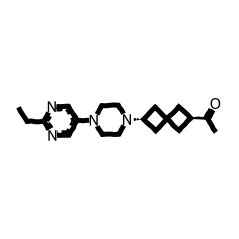 CCc1ncc(N2CCN([C@H]3CC4(C[C@H](C(C)=O)C4)C3)CC2)cn1